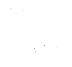 Cc1ncsc1-c1ccc([C@H](C)N2C=C(O)C(=O)C2=O)cc1